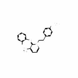 COc1ccc(CCN2C=CC=C3C2=Nc2ccccc2OS3(=O)=O)cc1